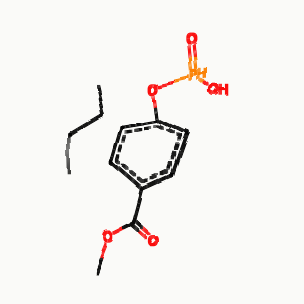 CCCC.COC(=O)c1ccc(O[PH](=O)O)cc1